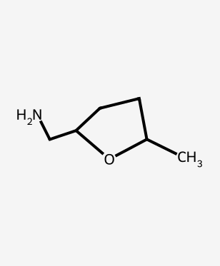 CC1CCC(CN)O1